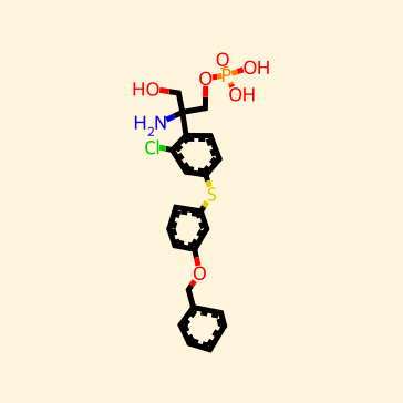 NC(CO)(COP(=O)(O)O)c1ccc(Sc2cccc(OCc3ccccc3)c2)cc1Cl